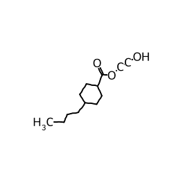 CCCCC1CCC(C(=O)OCCO)CC1